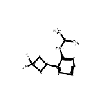 CC(C)Nc1ccccc1C1CC(F)(F)C1